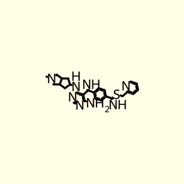 CN1CC2CC(Nc3ncnc(N)c3C(=N)c3ccc(C(=N)SCc4ccccn4)cc3)CC2C1